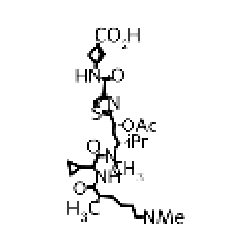 CNCCCC[C@@H](C)C(=O)N[C@H](C(=O)N(C)[C@H](C[C@@H](OC(C)=O)c1nc(C(=O)NC23CC(C(=O)O)(C2)C3)cs1)C(C)C)C1CC1